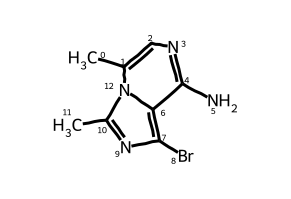 Cc1cnc(N)c2c(Br)nc(C)n12